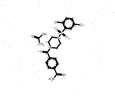 CC(=O)O.N=C(N)c1ccc(C(=O)N2CCN(S(=O)(=O)c3cc(Cl)ccc3Cl)CC2)cc1